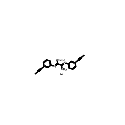 CC#Cc1cccc(/N=C(CCCC)/C(CCCCCCC)=N/c2cccc(C#CC)c2)c1.[Ni]